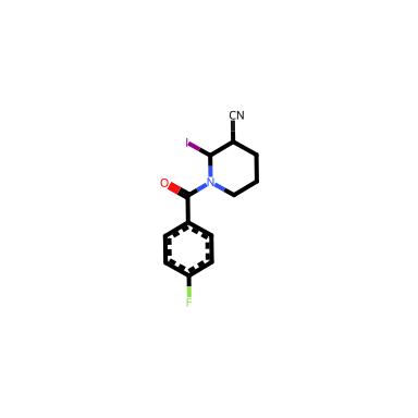 N#CC1CCCN(C(=O)c2ccc(F)cc2)C1I